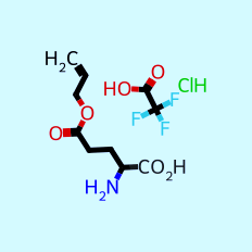 C=CCOC(=O)CCC(N)C(=O)O.Cl.O=C(O)C(F)(F)F